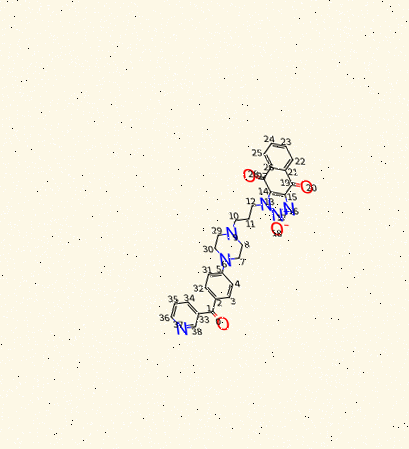 O=C(c1ccc(N2CCN(CCCn3c4c(n[n+]3[O-])C(=O)c3ccccc3C4=O)CC2)cc1)c1cccnc1